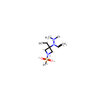 C=CN(N(C)CC)C1(CC#N)CN(S(=O)(=O)C(C)C)C1